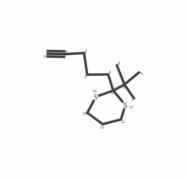 C#CCCCC1(C(C)(C)C)SCCCS1